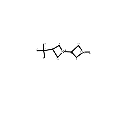 CN1CC(N2CC(C(C)(C)C)C2)C1